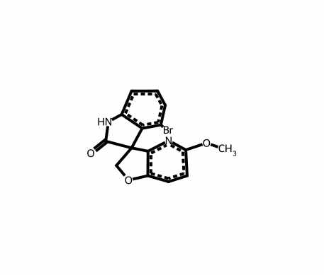 COc1ccc2c(n1)C1(CO2)C(=O)Nc2cccc(Br)c21